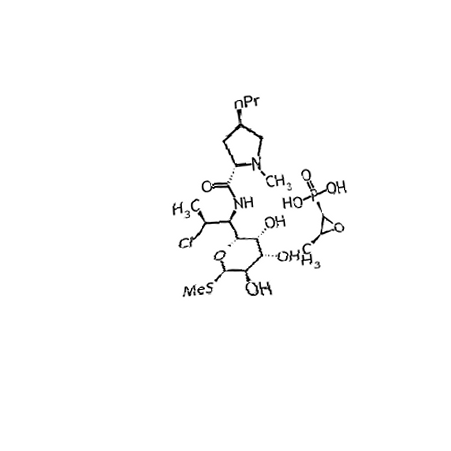 CCC[C@@H]1C[C@@H](C(=O)N[C@@H]([C@H]2O[C@H](SC)[C@H](O)[C@@H](O)[C@H]2O)[C@H](C)Cl)N(C)C1.C[C@@H]1O[C@@H]1P(=O)(O)O